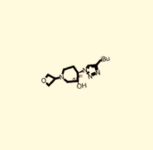 CCC(C)c1cn([C@@H]2CCN(C3COC3)C[C@H]2O)nn1